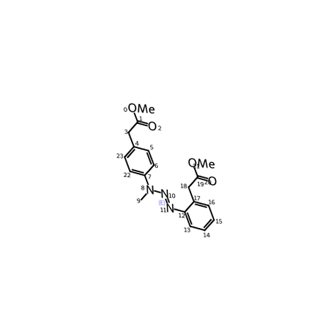 COC(=O)Cc1ccc(N(C)/N=N/c2ccccc2CC(=O)OC)cc1